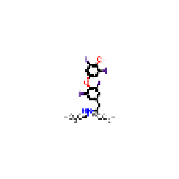 O=C(O)CN[C@@H](Cc1cc(I)c(Oc2cc(I)c(O)c(I)c2)c(I)c1)C(=O)O